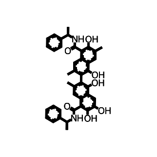 Cc1cc2c(O)c(-c3c(C)cc4c(C(=O)NC(C)c5ccccc5)c(O)c(O)cc4c3O)c(C)cc2c(C(=O)NC(C)c2ccccc2)c1O